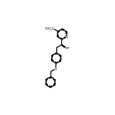 CCOC(=O)c1ccnc(C(=N)Cc2ccc(OCc3ccccc3)cc2)c1